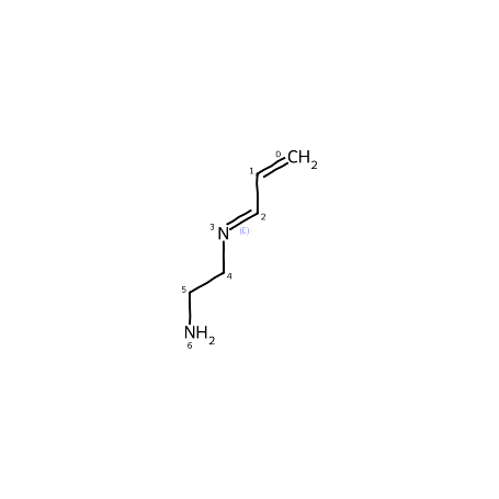 C=C/C=N/CCN